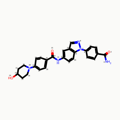 NC(=O)c1ccc(-n2ncc3cc(NC(=O)c4ccc(N5CCC(O)CC5)cc4)ccc32)cc1